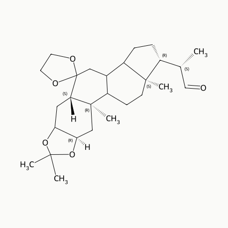 C[C@H](C=O)[C@H]1CCC2C3CC4(OCCO4)[C@H]4CC5OC(C)(C)O[C@@H]5C[C@]4(C)C3CC[C@@]21C